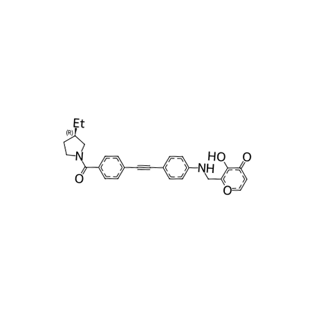 CC[C@@H]1CCN(C(=O)c2ccc(C#Cc3ccc(NCc4occc(=O)c4O)cc3)cc2)C1